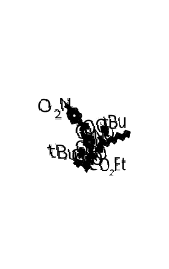 C=CCCCCCC(NC(=O)OC(C)(C)C)C(=O)N1CC(OC(=O)c2ccc([N+](=O)[O-])cc2)CC1C(=O)N(C(=O)OC(C)(C)C)[C@]1(C(=O)OCC)CC1C=C